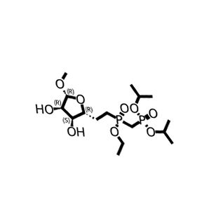 CCOP(=O)(CC[C@H]1O[C@@H](OC)[C@H](O)[C@@H]1O)CP(=O)(OC(C)C)OC(C)C